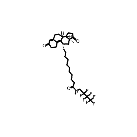 CN(CC(F)(F)C(F)(F)C(F)(F)F)C(=O)CCCCCCCCCC[C@H]1C[C@]2(C)C(=O)CC[C@H]2[C@@H]2CCC3=CC(=O)CCC3=C12